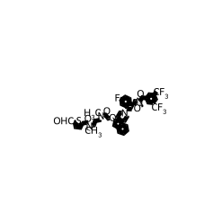 CN(CCCN(C)C(=O)c1ccc(C=O)s1)C(=O)CO[C@H]1Cc2ccccc2C12CCN(CC[C@@]1(c3ccc(F)cc3)CN(C(=O)c3cc(C(F)(F)F)cc(C(F)(F)F)c3)CO1)CC2